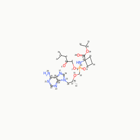 CC(C)CC(=O)COP(=O)(CO[C@H](C)Cn1cnc2c(N)ncnc21)NC1(C(=O)OC(C)C)CCC1